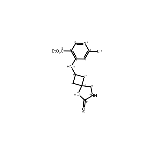 CCOC(=O)c1cnc(Cl)cc1NC1CC2(CNC(=O)O2)C1